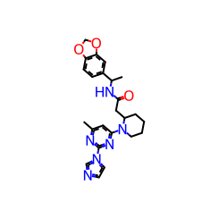 Cc1cc(N2CCCCC2CC(=O)NC(C)c2ccc3c(c2)OCO3)nc(-n2ccnc2)n1